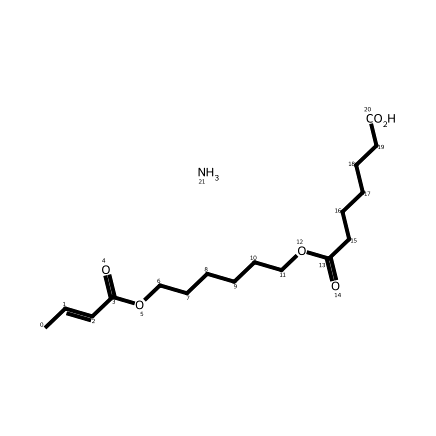 CC=CC(=O)OCCCCCCOC(=O)CCCCCC(=O)O.N